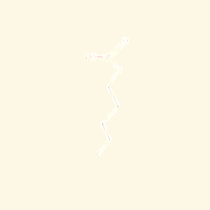 O=[PH](O)OCCCCF